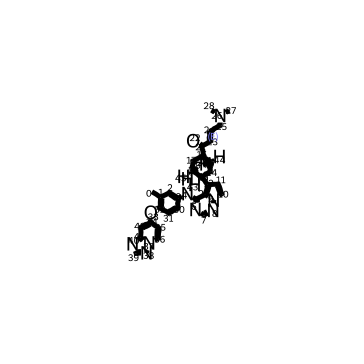 Cc1cc(Nc2ncnn3ccc([C@@H]4C[C@H]5CC[C@@H]4CN5C(=O)/C=C/CN(C)C)c23)ccc1Oc1ccn2ncnc2c1